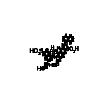 Nc1c(/N=N/c2cccc3ccccc23)c(S(=O)(=O)O)cc2cc(SOOO)c(/N=N/c3cc(SOOO)cc4cc(S(=O)(=O)O)ccc34)c(O)c12